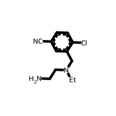 CCN(CCN)Cc1cc(C#N)ccc1Cl